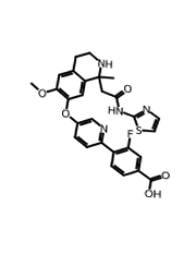 COc1cc2c(cc1Oc1ccc(-c3ccc(C(=O)O)cc3F)nc1)C(C)(CC(=O)Nc1nccs1)NCC2